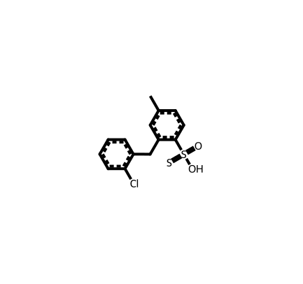 Cc1ccc(S(=O)(O)=S)c(Cc2ccccc2Cl)c1